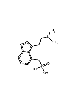 CN(C)CCc1csc2cccc(OP(=O)(O)O)c12